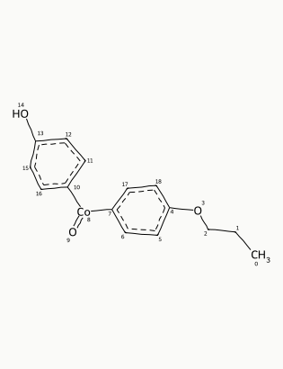 CCCOc1cc[c]([Co](=[O])[c]2ccc(O)cc2)cc1